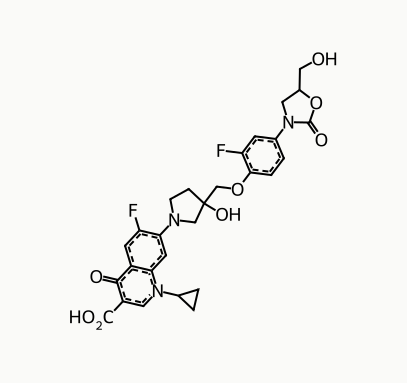 O=C(O)c1cn(C2CC2)c2cc(N3CCC(O)(COc4ccc(N5CC(CO)OC5=O)cc4F)C3)c(F)cc2c1=O